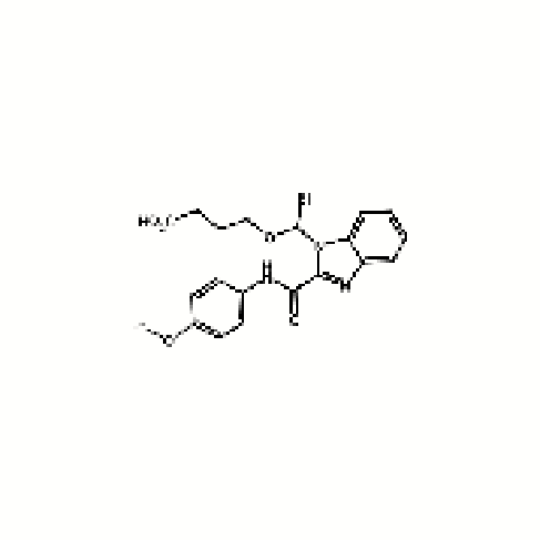 CCOc1ccc(NC(=O)c2nc3ccccc3n2C(CC)OCCCC(=O)O)cc1